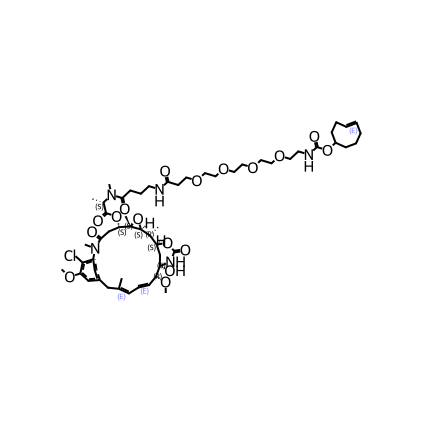 COc1cc2cc(c1Cl)N(C)C(=O)C[C@H](OC(=O)[C@H](C)N(C)C(=O)CCCNC(=O)CCOCCOCCOCCOCCNC(=O)OC1CC/C=C/CCC1)[C@]1(C)O[C@H]1[C@H](C)[C@@H]1C[C@@](O)(NC(=O)O1)[C@H](OC)/C=C/C=C(\C)C2